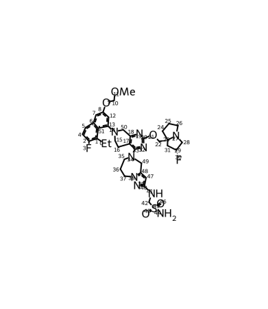 CCc1c(F)ccc2cc(OCOC)cc(N3CCc4c(nc(OC[C@@]56CCCN5C[C@H](F)C6)nc4N4CCCn5nc(NCS(N)(=O)=O)cc5C4)C3)c12